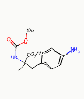 CC(C)(C)OC(=O)NC(C)(Cc1ccc(N)cc1)C(=O)O